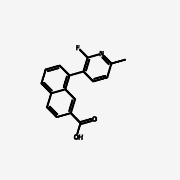 Cc1ccc(-c2cccc3ccc(C(=O)O)cc23)c(F)n1